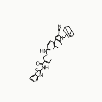 C=C(/C=C\C(=C(C)C)c1cc(C#N)n(CC23CC4CC(CC(C4)C2)C3)c1C)NCC/C(=C\C)C(=O)Nc1nc2ccccc2s1